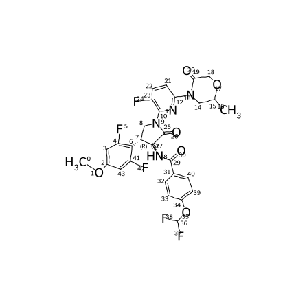 COc1cc(F)c([C@@H]2CN(c3nc(N4CC(C)OCC4=O)ccc3F)C(=O)[C@H]2NC(=O)c2ccc(OC(F)F)cc2)c(F)c1